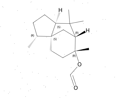 C[C@@H]1CC[C@H]2C(C)(C)[C@H]3C[C@@]12CC[C@@]3(C)OC=O